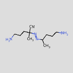 CC(CCCN)N=NC(C)(C#N)CCCN